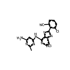 Cc1nc(N)cc(Nc2nccc3nc(-c4c(Cl)cccc4C#N)sc23)n1.Cl